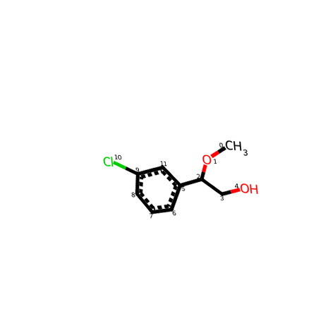 COC(CO)c1cccc(Cl)c1